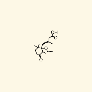 CCOC1(C=C=C(C)CC(=O)O)C(C)C(=O)CCC1(C)C